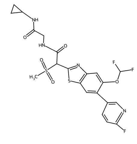 CS(=O)(=O)C(C(=O)NCC(=O)NC1CC1)c1nc2cc(OC(F)F)c(-c3ccc(F)nc3)cc2s1